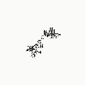 COC(=O)NC(C(=O)N1[C@@H]2C[C@@H]2C[C@H]1c1ncc(-c2ccc(-c3ccc(-c4cnc([C@@H]5C[C@H]6C[C@H]6N5C(=O)C(NC(=O)O)C(C)C)[nH]4)cc3)cc2)[nH]1)C1CCOC2(CC2)C1